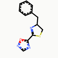 c1ccc(CC2CSC(c3ncno3)=N2)cc1